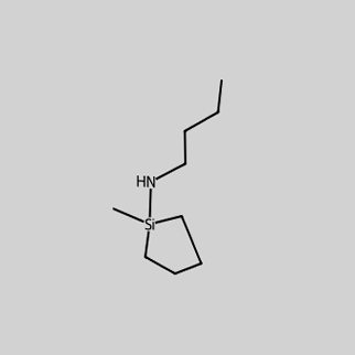 CCCCN[Si]1(C)CCCC1